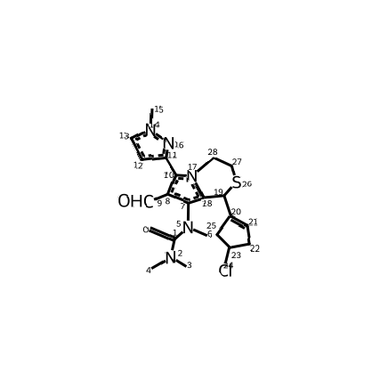 C=C(N(C)C)N(C)c1c(C=O)c(-c2ccn(C)n2)n2c1C(C1=CCC(Cl)C1)SCC2